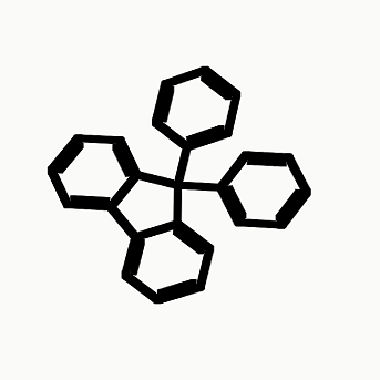 c1ccc(C2(c3ccccc3)c3ccccc3-c3ccccc32)cc1